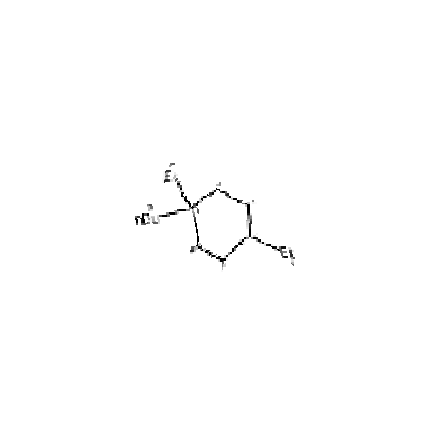 CCCCC1(CC)CCC(CC)CC1